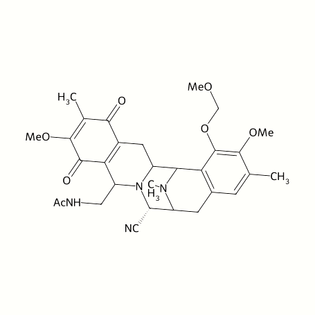 COCOc1c(OC)c(C)cc2c1C1C3CC4=C(C(=O)C(OC)=C(C)C4=O)C(CNC(C)=O)N3[C@@H](C#N)C(C2)N1C